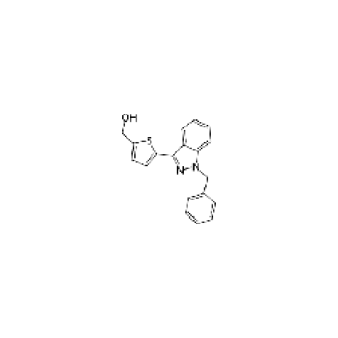 OCc1ccc(-c2nn(Cc3ccccc3)c3ccccc23)s1